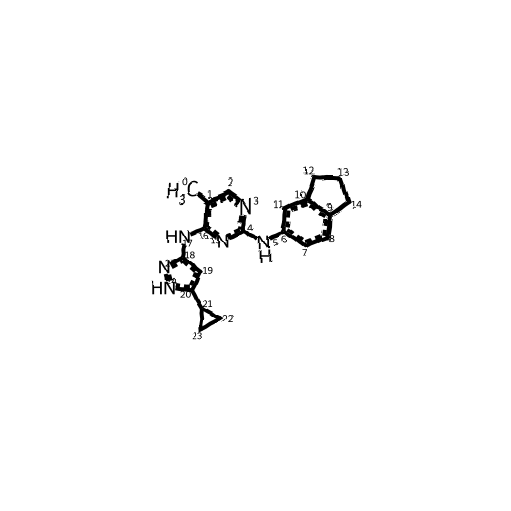 Cc1cnc(Nc2ccc3c(c2)CCC3)nc1Nc1cc(C2CC2)[nH]n1